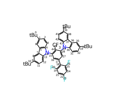 CC(C)(C)c1ccc2c(c1)c1cc(C(C)(C)C)ccc1n2-c1cc(-c2c(F)cc(F)cc2F)cc(-n2c3ccc(C(C)(C)C)cc3c3cc(C(C)(C)C)ccc32)c1C(F)(F)F